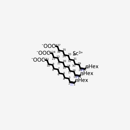 CCCCCC/C=C\CCCCCCCCCC(=O)[O-].CCCCCC/C=C\CCCCCCCCCC(=O)[O-].CCCCCC/C=C\CCCCCCCCCC(=O)[O-].[Sc+3]